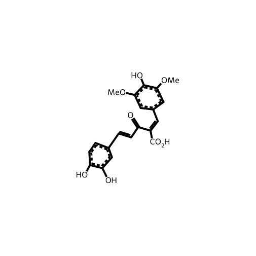 COc1cc(/C=C(/C(=O)O)C(=O)/C=C/c2ccc(O)c(O)c2)cc(OC)c1O